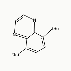 CC(C)(C)c1ccc(C(C)(C)C)c2nccnc12